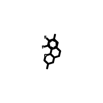 Cc1cc2c(c(F)c1F)C1OCC(C)CC1CC2